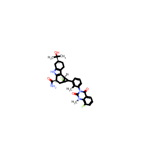 Cc1c(C2[C@@H]3c4c([nH]c5c4CC[C@H](C(C)(C)O)C5)[C@H](C(N)=O)CC23F)cccc1-n1c(=O)c2cccc(F)c2n(C)c1=O